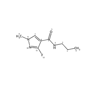 CCCNC(=O)c1cn(C)nc1F